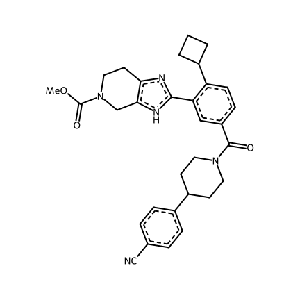 COC(=O)N1CCc2nc(-c3cc(C(=O)N4CCC(c5ccc(C#N)cc5)CC4)ccc3C3CCC3)[nH]c2C1